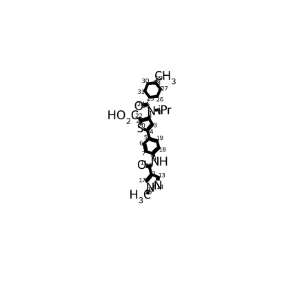 CC(C)N(c1cc(-c2ccc(NC(=O)c3cnn(C)c3)cc2)sc1C(=O)O)C(=O)[C@H]1CC[C@H](C)CC1